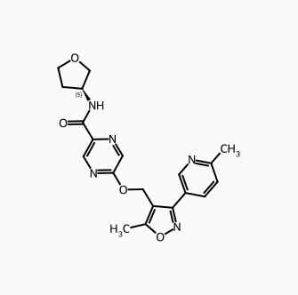 Cc1ccc(-c2noc(C)c2COc2cnc(C(=O)N[C@H]3CCOC3)cn2)cn1